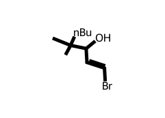 CCCCC(C)(C)C(O)C=CBr